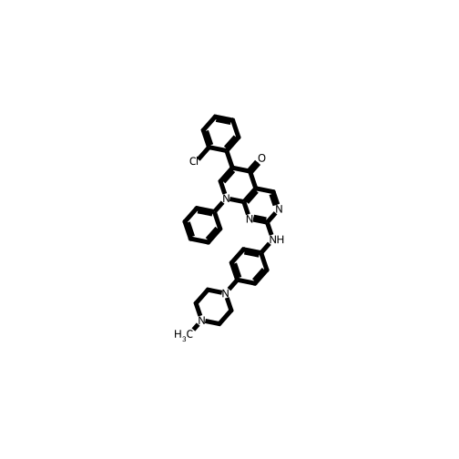 CN1CCN(c2ccc(Nc3ncc4c(=O)c(-c5ccccc5Cl)cn(-c5ccccc5)c4n3)cc2)CC1